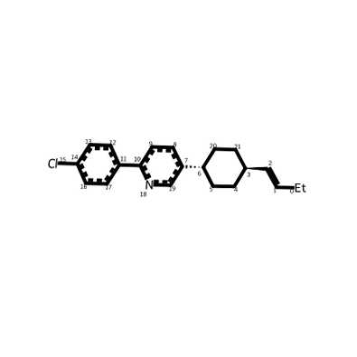 CCC=C[C@H]1CC[C@H](c2ccc(-c3ccc(Cl)cc3)nc2)CC1